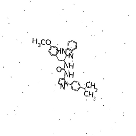 COc1ccc(CC(NC(=O)Nc2ccnn2-c2ccc(C(C)C)cc2)c2nc3ccccc3[nH]2)cc1